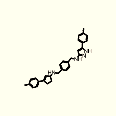 Cc1ccc(C2=CC(NCc3ccc(CNc4cc(-c5ccc(C)cc5)[nH]n4)cc3)CC2)cc1